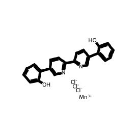 Oc1ccccc1-c1ccc(-c2ccc(-c3ccccc3O)cn2)nc1.[Cl-].[Cl-].[Cl-].[Mn+3]